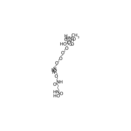 CC(=O)N[C@H]1[C@H]2OC[C@](COCCOCCOCCOCCn3cc(COCCNC(=O)CCCNC(=O)O)nn3)(O2)[C@H](O)[C@@H]1O